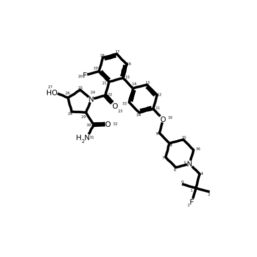 CC(C)(F)CN1CCC(COc2ccc(-c3cccc(F)c3C(=O)N3CC(O)CC3C(N)=O)cc2)CC1